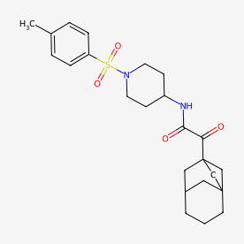 Cc1ccc(S(=O)(=O)N2CCC(NC(=O)C(=O)C34CC5CCCC(C5)(C3)C4)CC2)cc1